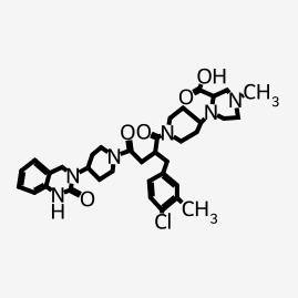 Cc1cc(CC(CC(=O)N2CCC(N3Cc4ccccc4NC3=O)CC2)C(=O)N2CCC(N3CCN(C)CC3C(=O)O)CC2)ccc1Cl